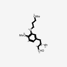 COCCCOc1cc(C[C@@H](CC=O)C(C)C)ccc1OC